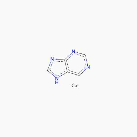 [Ca].c1ncc2[nH]cnc2n1